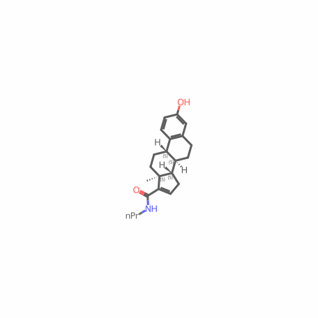 CCCNC(=O)C1=CC[C@H]2[C@@H]3CCc4cc(O)ccc4[C@H]3CC[C@]12C